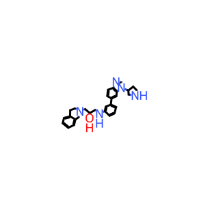 OC(CNc1cccc(-c2ccc3ncn(C4CCNC4)c3c2)c1)CN1CCc2ccccc2C1